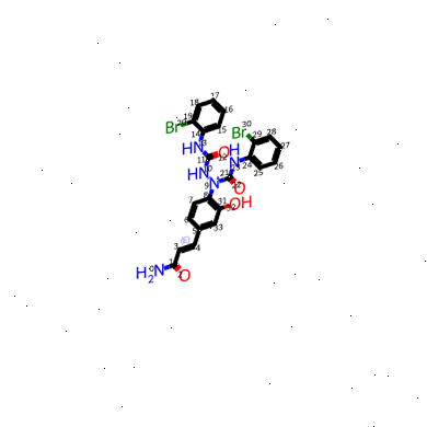 NC(=O)/C=C/c1ccc(N(NC(=O)Nc2ccccc2Br)C(=O)Nc2ccccc2Br)c(O)c1